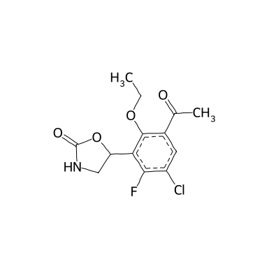 CCOc1c(C(C)=O)cc(Cl)c(F)c1C1CNC(=O)O1